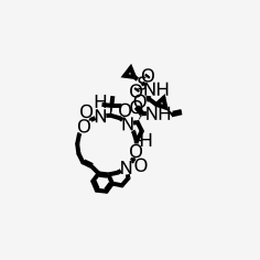 C=C[C@@H]1C[C@]1(NC(=O)[C@@H]1C[C@@H]2CN1C(=O)[C@H](C(C)(C)C)NC(=O)OCCC/C=C/c1cccc3c1CN(CC3)C(=O)O2)C(=O)NS(=O)(=O)C1CC1